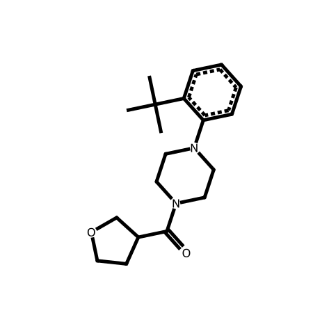 CC(C)(C)c1ccccc1N1CCN(C(=O)C2CCOC2)CC1